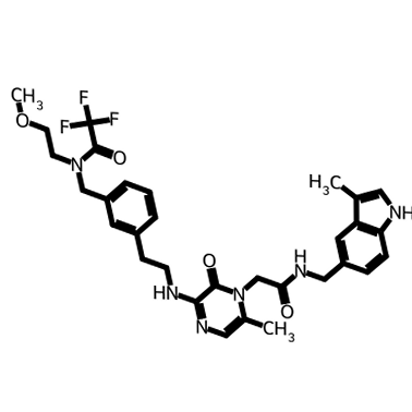 COCCN(Cc1cccc(CCNc2ncc(C)n(CC(=O)NCc3ccc4[nH]cc(C)c4c3)c2=O)c1)C(=O)C(F)(F)F